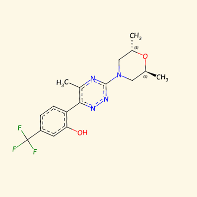 Cc1nc(N2C[C@H](C)O[C@@H](C)C2)nnc1-c1ccc(C(F)(F)F)cc1O